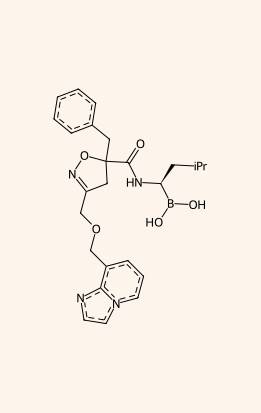 CC(C)C[C@H](NC(=O)C1(Cc2ccccc2)CC(COCc2cccn3ccnc23)=NO1)B(O)O